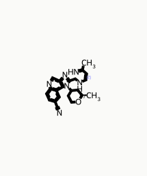 CC(=N)/C=C\NCc1nc2cnc3ccc(C#N)cc3c2n1C1CCO[C@H](C)C1